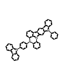 c1ccc(-n2c3ccccc3c3cc4c5cccc6c5n(c4cc32)-c2ccccc2N6c2ccc(-n3c4ccccc4c4ccccc43)cc2)cc1